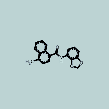 Cc1ccc(C(=O)Nc2cccc3c2OCO3)c2ccccc12